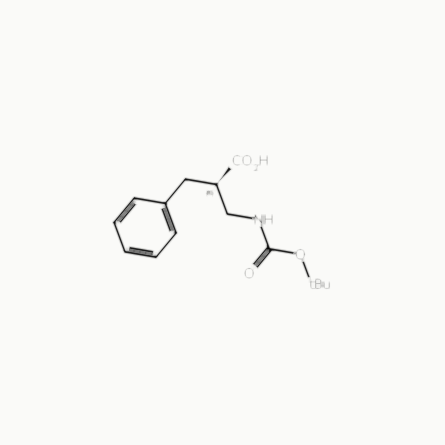 CC(C)(C)OC(=O)NC[C@@H](Cc1ccccc1)C(=O)O